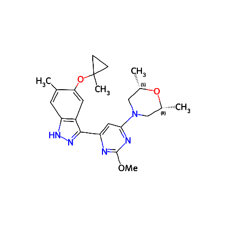 COc1nc(-c2n[nH]c3cc(C)c(OC4(C)CC4)cc23)cc(N2C[C@@H](C)O[C@@H](C)C2)n1